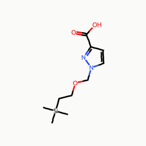 C[Si](C)(C)CCOCn1ccc(C(=O)O)n1